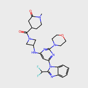 CN1CCC(C(=O)N2CC(Nc3cc(-n4c(C(F)F)nc5ccccc54)nc(N4CCOCC4)n3)C2)CC1=O